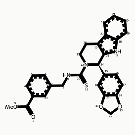 COC(=O)c1cccc(CNC(=S)N2CCc3c([nH]c4ccccc34)[C@H]2c2ccc3c(c2)OCO3)c1